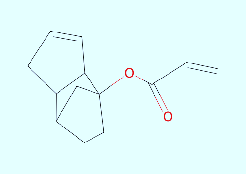 C=CC(=O)OC12CCC(C1)C1CC=CC12